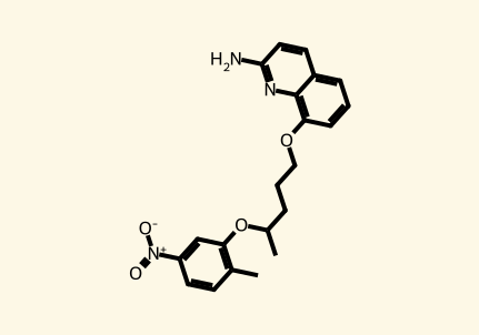 Cc1ccc([N+](=O)[O-])cc1OC(C)CCCOc1cccc2ccc(N)nc12